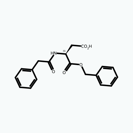 O=C(O)C[C@H](NC(=O)Cc1ccccc1)C(=O)OCc1ccccc1